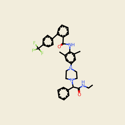 CCNC(=O)C(c1ccccc1)N1CCN(c2cc(C)c(NC(=O)c3ccccc3-c3ccc(C(F)(F)F)cc3)c(C)c2)CC1